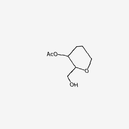 CC(=O)OC1CCCOC1CO